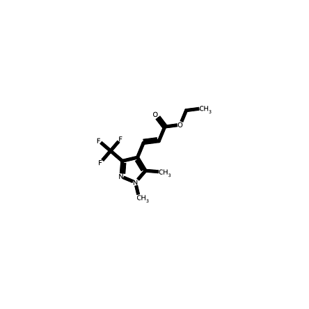 CCOC(=O)C=Cc1c(C(F)(F)F)nn(C)c1C